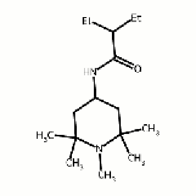 CCC(CC)C(=O)NC1CC(C)(C)N(C)C(C)(C)C1